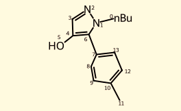 CCCCn1ncc(O)c1-c1ccc(C)cc1